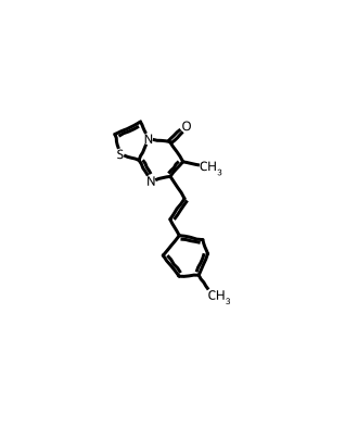 Cc1ccc(/C=C/c2nc3sccn3c(=O)c2C)cc1